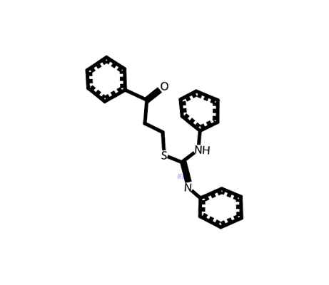 O=C(CCS/C(=N/c1ccccc1)Nc1ccccc1)c1ccccc1